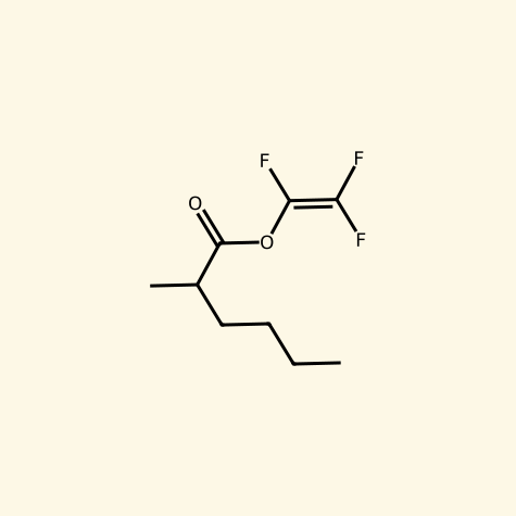 CCCCC(C)C(=O)OC(F)=C(F)F